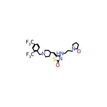 O=C1N=C(NCCCN2CCCC2=O)C(=CC2CCN(Cc3ccc(C(F)(F)F)cc3C(F)(F)F)CC2)S1